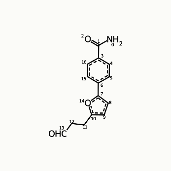 NC(=O)c1ccc(-c2ccc(CCC=O)o2)cc1